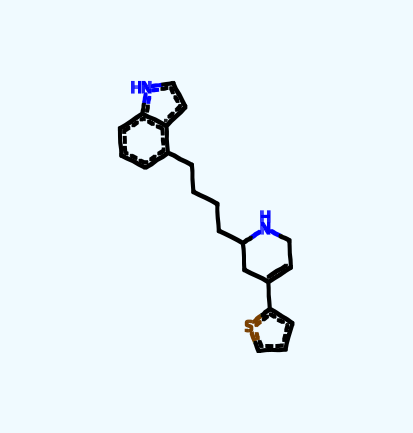 C1=C(c2cccs2)CC(CCCCc2cccc3[nH]ccc23)NC1